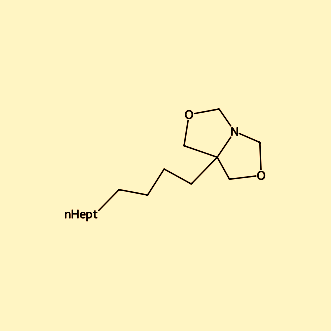 CCCCCCCCCCCC12COCN1COC2